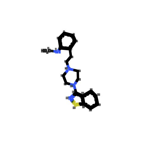 O=C(O)Nc1ccccc1CCN1CCN(c2nsc3ccccc23)CC1